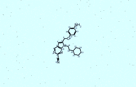 N#Cc1ncc2cc(COc3ccc(N)cc3)n(CCC3CCCCC3)c2n1